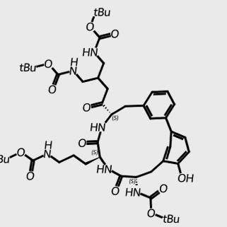 CC(C)(C)OC(=O)NCCC[C@@H]1NC(=O)[C@@H](NC(=O)OC(C)(C)C)Cc2cc(ccc2O)-c2cccc(c2)C[C@@H](C(=O)CC(CNC(=O)OC(C)(C)C)CNC(=O)OC(C)(C)C)NC1=O